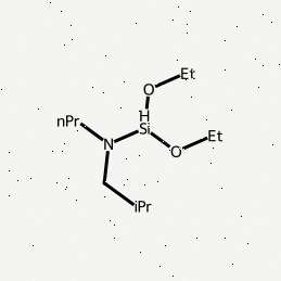 CCCN(CC(C)C)[SiH](OCC)OCC